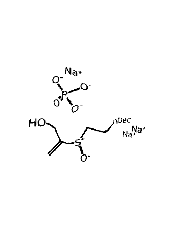 C=C(CO)[S+]([O-])CCCCCCCCCCCC.O=P([O-])([O-])[O-].[Na+].[Na+].[Na+]